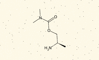 C[C@@H](N)COC(=O)N(C)C